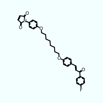 O=C(C=Cc1ccc(OCCCCCCCCOc2ccc(N3C(=O)C=CC3=O)cc2)cc1)c1ccc(F)cc1